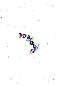 C=CC(=O)N1CCC(N2CC[C@@H]([C@@H](Nc3ccc(-c4cc5c(N6CCOCC6)ncnc5[nH]4)cc3)C(F)(F)F)C2)CC1